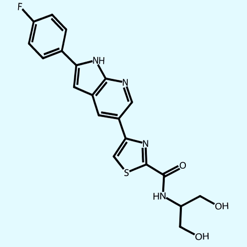 O=C(NC(CO)CO)c1nc(-c2cnc3[nH]c(-c4ccc(F)cc4)cc3c2)cs1